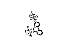 O=S(=O)([O-])C(F)(F)F.O=S(=O)([O-])C(F)(F)F.c1cc[n+]2c(c1)-c1cccc[n+]1CC2